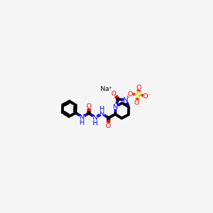 O=C(NNC(=O)C1CCC2CN1C(=O)N2OS(=O)(=O)[O-])Nc1ccccc1.[Na+]